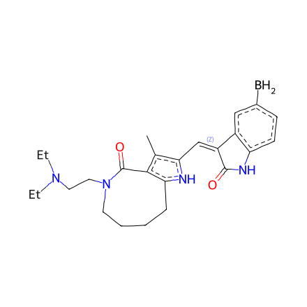 Bc1ccc2c(c1)/C(=C/c1[nH]c3c(c1C)C(=O)N(CCN(CC)CC)CCCC3)C(=O)N2